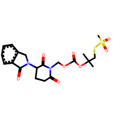 CC(C)(CSS(C)(=O)=O)OC(=O)OCN1C(=O)CCC(N2Cc3ccccc3C2=O)C1=O